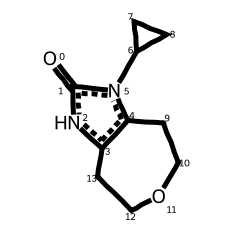 O=c1[nH]c2c(n1C1CC1)CCOCC2